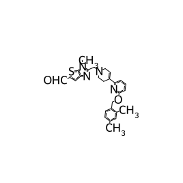 Cc1ccc(COc2cccc(C3=CCN(Cc4nc5cc(C=O)sc5n4C)CC3)n2)c(C)c1